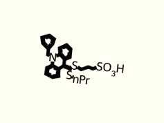 CCCSC(SCCCS(=O)(=O)O)=C1c2ccccc2N(Cc2ccccc2)c2ccccc21